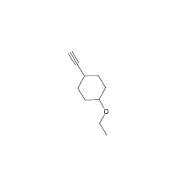 C#CC1CCC(OCC)CC1